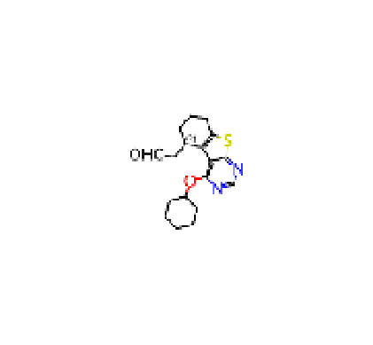 O=CC[C@H]1CCCc2sc3ncnc(OC4CCCCC4)c3c21